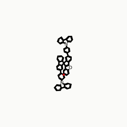 c1ccc2c(c1)-c1ccc(-c3ccc(-n4c5ccccc5c5ccccc54)cc3)cc1C21c2cc(-c3ccc(-n4c5ccccc5c5ccccc54)cc3)ccc2-c2oc3ccccc3c21